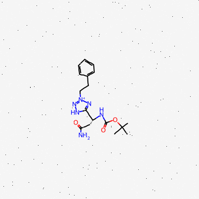 CC(C)(C)OC(=O)N[C@H](CC(N)=O)c1n[n+](CCc2ccccc2)n[nH]1